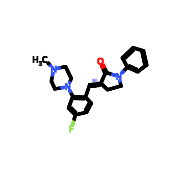 CN1CCN(c2cc(F)ccc2/C=C2\CCN(c3ccccc3)C2=O)CC1